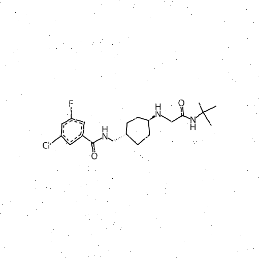 CC(C)(C)NC(=O)CN[C@H]1CC[C@H](CNC(=O)c2cc(F)cc(Cl)c2)CC1